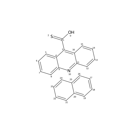 OC(=S)c1c2ccccc2nc2ccccc12.c1ccc2ccccc2c1